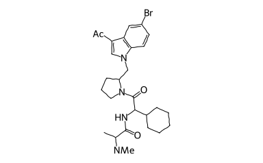 CNC(C)C(=O)NC(C(=O)N1CCCC1Cn1cc(C(C)=O)c2cc(Br)ccc21)C1CCCCC1